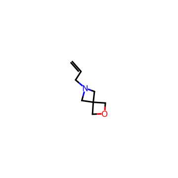 C=CCN1CC2(COC2)C1